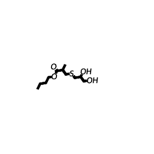 CCCCOC(=O)C(C)CSCC(O)CO